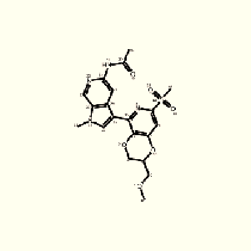 COCC1COc2c(cc(S(C)(=O)=O)nc2-c2cn(C)c3cnc(NC(C)=O)cc23)O1